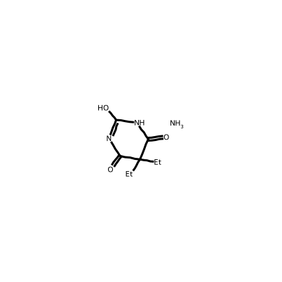 CCC1(CC)C(=O)N=C(O)NC1=O.N